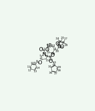 CC(C)(C)OC(=O)N1C[C@@H](OCc2ccccc2)C[C@]1(CCCCB1OC(C)(C)C(C)(C)O1)C(=O)OCc1ccccc1